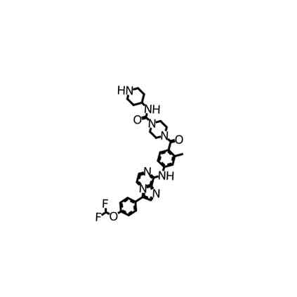 Cc1cc(Nc2nccn3c(-c4ccc(OC(F)F)cc4)cnc23)ccc1C(=O)N1CCN(C(=O)NC2CCNCC2)CC1